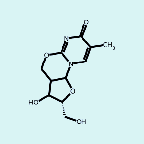 Cc1cn2c(nc1=O)OCC1C(O)[C@@H](CO)OC12